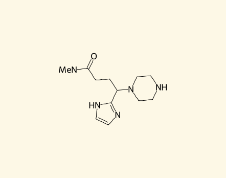 CNC(=O)CCC(c1ncc[nH]1)N1CCNCC1